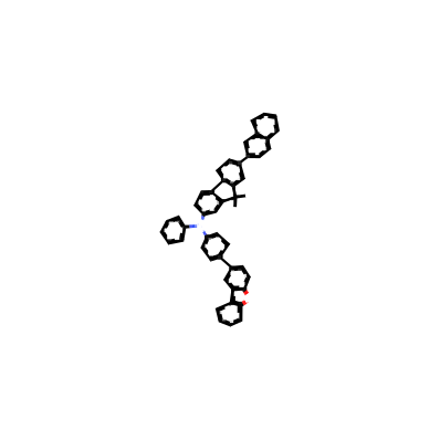 CC1(C)c2cc(-c3ccc4ccccc4c3)ccc2-c2ccc(N(c3ccccc3)c3ccc(-c4ccc5oc6ccccc6c5c4)cc3)cc21